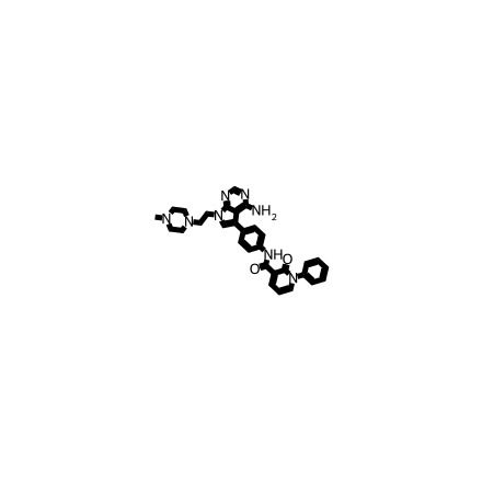 CN1CCN(CCn2cc(-c3ccc(NC(=O)c4cccn(-c5ccccc5)c4=O)cc3)c3c(N)ncnc32)CC1